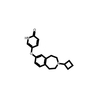 O=c1ccc(Oc2ccc3c(c2)CCN(C2CCC2)CC3)c[nH]1